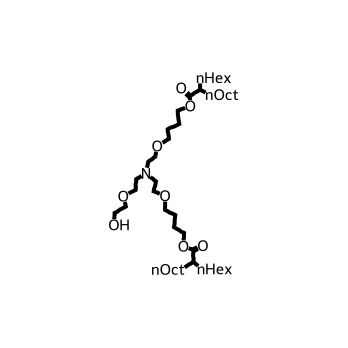 CCCCCCCCC(CCCCCC)C(=O)OCCCCOCCN(CCOCCO)CCOCCCCOC(=O)C(CCCCCC)CCCCCCCC